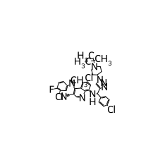 CN(c1ccc(F)c(Cl)c1)c1c(C#N)cnc2c(N[C@@H](c3ccc(Cl)cc3)c3cn(C4CCN(C(C)(C)C)CC4)nn3)cc(Cl)cc12